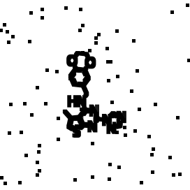 Cc1csc2nc(-n3cncn3)nc(NCc3ccc4c(c3)OCCO4)c12